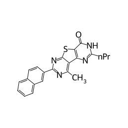 CCCc1nc2c(sc3nc(-c4ccc5ccccc5c4)nc(C)c32)c(=O)[nH]1